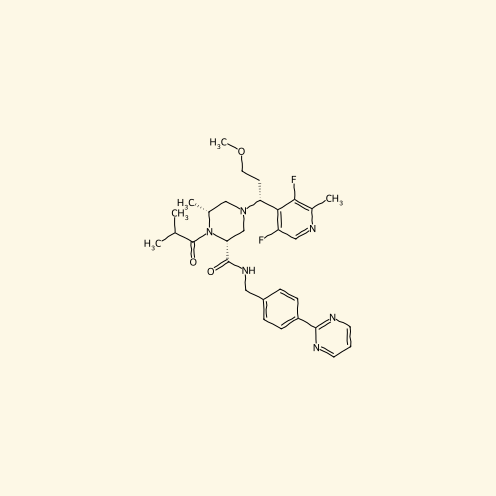 COCC[C@H](c1c(F)cnc(C)c1F)N1C[C@@H](C)N(C(=O)C(C)C)[C@@H](C(=O)NCc2ccc(-c3ncccn3)cc2)C1